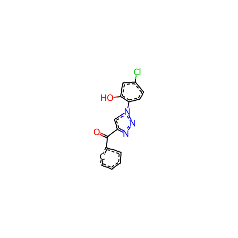 O=C(c1ccccc1)c1cn(-c2ccc(Cl)cc2O)nn1